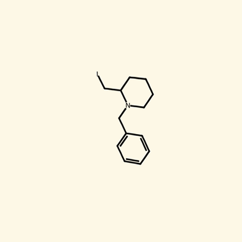 ICC1CCCCN1Cc1ccccc1